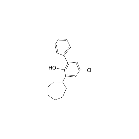 Oc1c(-c2ccccc2)cc(Cl)cc1C1CCCCCC1